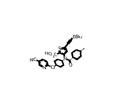 CC(C)(C)C#Cc1cc(N(C(=O)[C@H]2CC[C@H](C)CC2)[C@H]2CC[C@H](Oc3ccc(C#N)cn3)CC2)c(C(=O)O)s1